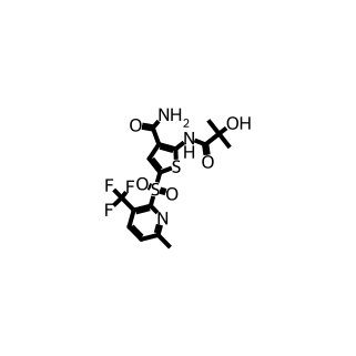 Cc1ccc(C(F)(F)F)c(S(=O)(=O)c2cc(C(N)=O)c(NC(=O)C(C)(C)O)s2)n1